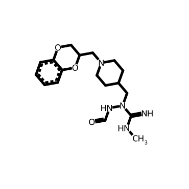 CNC(=N)N(CC1CCN(CC2COc3ccccc3O2)CC1)NC=O